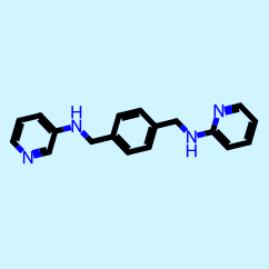 c1ccc(NCc2ccc(CNc3cccnc3)cc2)nc1